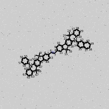 CC1(C)c2cc(/C=C/c3ccc4c(c3)C(C)(C)c3cc5c(cc3-4)C(C)(C)c3ccccc3N5c3ccc4ccccc4c3)ccc2-c2cc3c(cc21)N(c1ccccc1)c1ccccc1C3(C)C